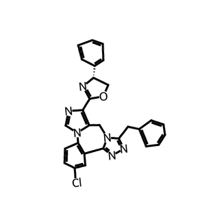 Clc1ccc2c(c1)-c1nnc(Cc3ccccc3)n1Cc1c(C3=N[C@H](c4ccccc4)CO3)ncn1-2